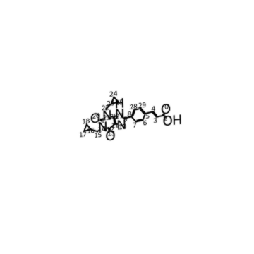 O=C(O)/C=C/c1ccc(-c2nc3c(=O)n(CC4CC4)c(=O)n(CC4CC4)c3[nH]2)cc1